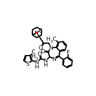 Cc1ccsc1NC(=O)NC1N=C(c2ccccc2F)c2cccc(C)c2N(CC(=O)N2CC3CCC(CC3)C2)C1=O